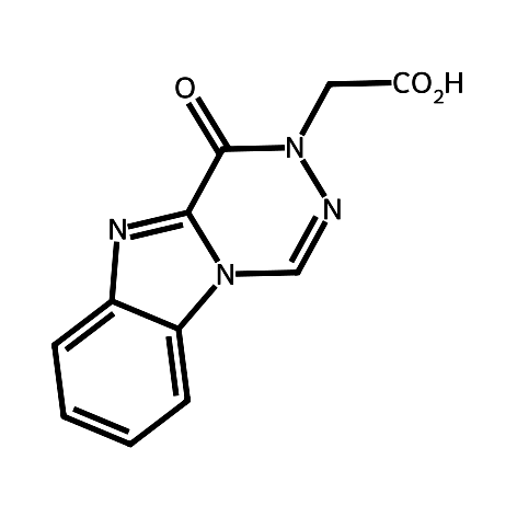 O=C(O)Cn1ncn2c(nc3ccccc32)c1=O